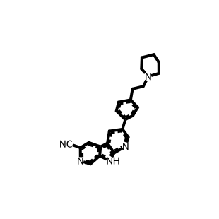 N#Cc1cc2c(cn1)[nH]c1ncc(-c3ccc(CCN4CCCCC4)cc3)cc12